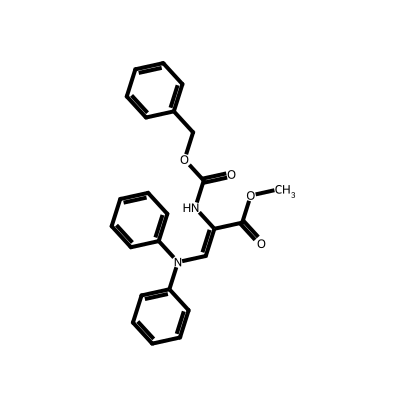 COC(=O)C(=CN(c1ccccc1)c1ccccc1)NC(=O)OCc1ccccc1